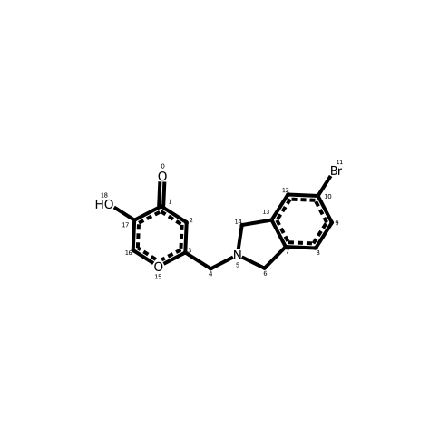 O=c1cc(CN2Cc3ccc(Br)cc3C2)occ1O